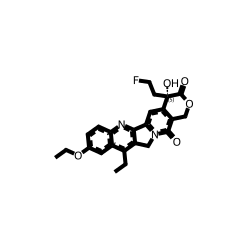 CCOc1ccc2nc3c(c(CC)c2c1)Cn1c-3cc2c(c1=O)COC(=O)[C@]2(O)CCF